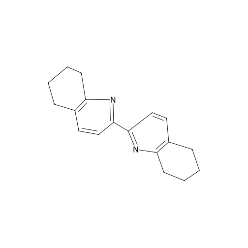 c1cc2c(nc1-c1ccc3c(n1)CCCC3)CCCC2